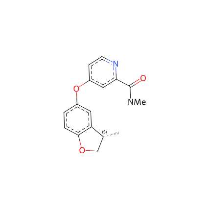 CNC(=O)c1cc(Oc2ccc3c(c2)[C@H](C)CO3)ccn1